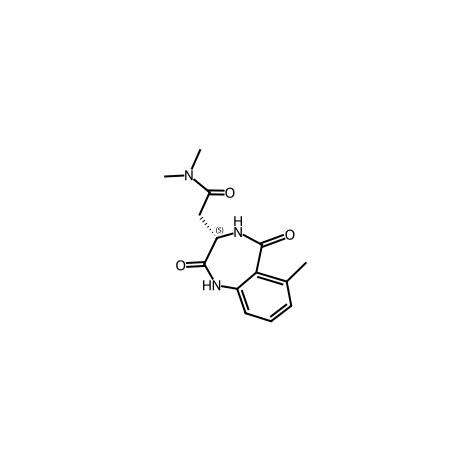 Cc1cccc2c1C(=O)N[C@@H](CC(=O)N(C)C)C(=O)N2